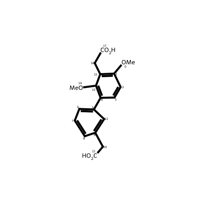 COc1ccc(-c2cccc(CC(=O)O)c2)c(OC)c1CC(=O)O